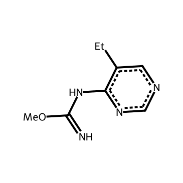 CCc1cncnc1NC(=N)OC